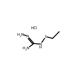 CCSNC(N)=NN.Cl